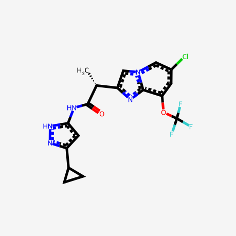 C[C@@H](C(=O)Nc1cc(C2CC2)n[nH]1)c1cn2cc(Cl)cc(OC(F)(F)F)c2n1